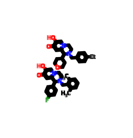 CCc1ccc(CN2CCn3cc(O)c(=O)cc3C2C2CCOCC2)cc1.Cc1cccc(C)c1CN1CCn2cc(O)c(=O)cc2C1c1ccc(F)cc1